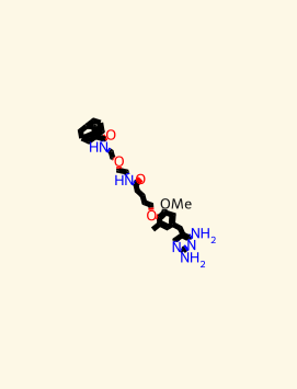 COc1cc(Cc2cnc(N)nc2N)cc(C)c1OCCCCC(=O)NCCOCCNC(=O)C12CC3CC(CC(C3)C1)C2